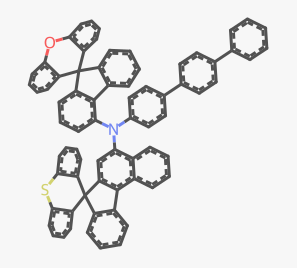 c1ccc(-c2ccc(-c3ccc(N(c4cccc5c4-c4ccccc4C54c5ccccc5Oc5ccccc54)c4cc5c(c6ccccc46)-c4ccccc4C54c5ccccc5Sc5ccccc54)cc3)cc2)cc1